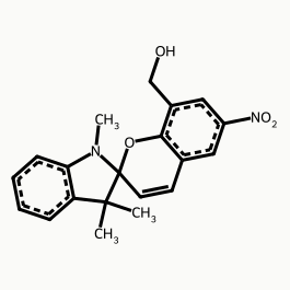 CN1c2ccccc2C(C)(C)C12C=Cc1cc([N+](=O)[O-])cc(CO)c1O2